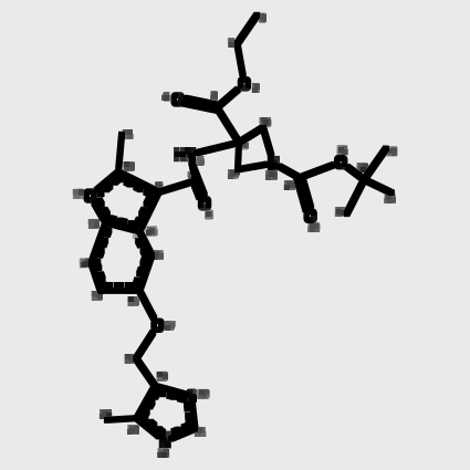 CCOC(=O)C1(NC(=O)c2c(C)oc3ccc(OCc4scnc4C)cc23)CN(C(=O)OC(C)(C)C)C1